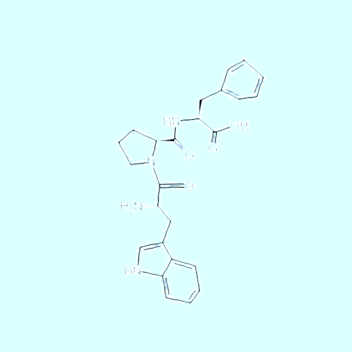 N[C@@H](Cc1c[nH]c2ccccc12)C(=O)N1CCC[C@H]1C(=O)N[C@@H](Cc1ccccc1)C(=O)O